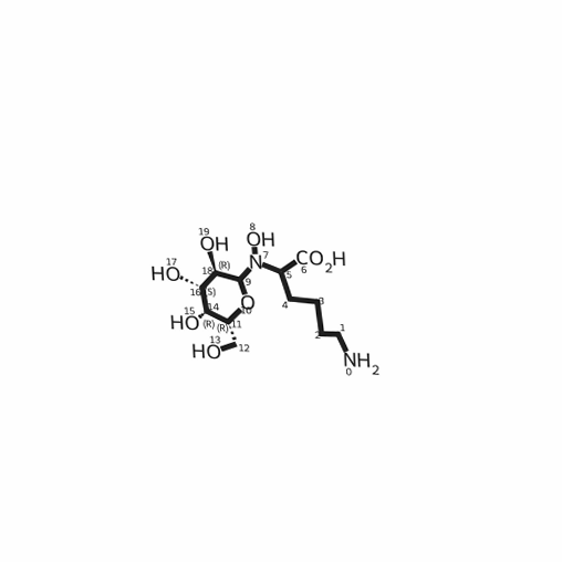 NCCCCC(C(=O)O)N(O)C1O[C@H](CO)[C@H](O)[C@H](O)[C@H]1O